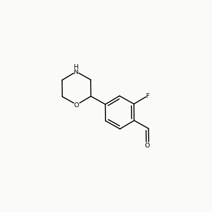 O=Cc1ccc(C2CNCCO2)cc1F